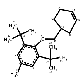 Cc1cc(C(C)(C)C)c(OCC2CC=CCC2)c(C(C)(C)C)c1